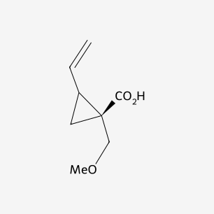 C=CC1C[C@]1(COC)C(=O)O